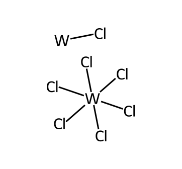 [Cl][W].[Cl][W]([Cl])([Cl])([Cl])([Cl])[Cl]